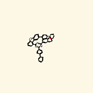 c1ccc(-c2ccc(-c3ccc4oc5cccc(-c6nc(-c7ccc(-c8ccccc8)cc7)nc(-c7ccc8ccccc8c7)n6)c5c4c3)cc2)cc1